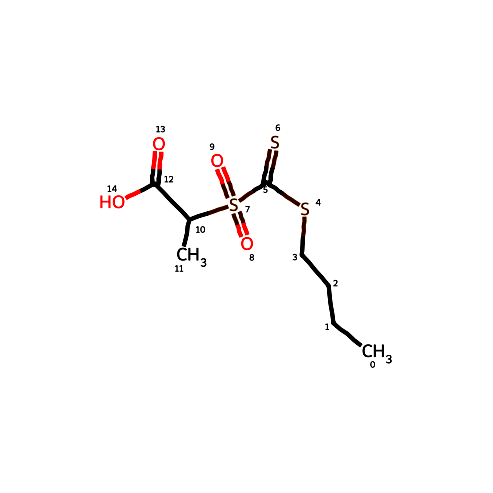 CCCCSC(=S)S(=O)(=O)C(C)C(=O)O